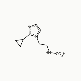 O=C(O)NCCn1ccnc1C1CC1